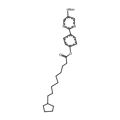 CCCCCCCCCc1cnc(-c2ccc(OC(=O)CCCCCCCCC3CCCC3)cc2)nc1